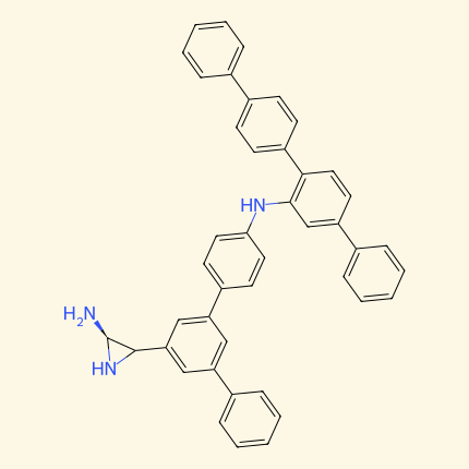 N[C@@H]1NC1c1cc(-c2ccccc2)cc(-c2ccc(Nc3cc(-c4ccccc4)ccc3-c3ccc(-c4ccccc4)cc3)cc2)c1